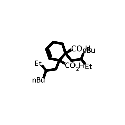 CCCCC(CC)CC1(C(=O)O)C=CCCC1(CC(CC)CCCC)C(=O)O